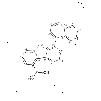 OB(O)c1cccc2oc3c(-c4cccc5ccccc45)cccc3c12